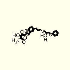 Cc1c(-c2cc3cc(CCCNCC(O)COc4ccccc4)ccc3o2)oc(=O)c(C)c1O